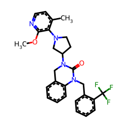 COc1nccc(C)c1N1CCC(N2Cc3ccccc3N(Cc3ccccc3C(F)(F)F)C2=O)C1